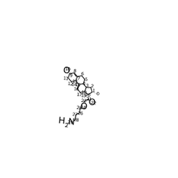 C[C@H]1CC2C3CCC4=CC(=O)CC[C@]4(C)C3=CC[C@]2(C)[C@H]1C(=O)COCCCCN